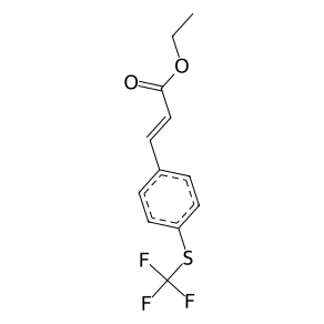 CCOC(=O)C=Cc1ccc(SC(F)(F)F)cc1